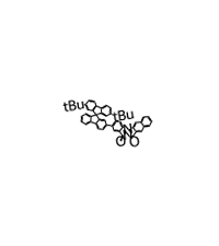 CC(C)(C)c1ccc2c(c1)C1(c3ccccc3-c3ccc(-c4ccc5c(c4)c(=O)n4c(=O)c6cc7ccccc7cc6n54)cc31)c1cc(C(C)(C)C)ccc1-2